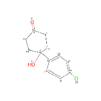 O=C1CCC(O)(c2ccc(Cl)cc2)CC1